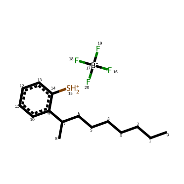 CCCCCCCC(C)c1ccccc1[SH2+].F[B-](F)(F)F